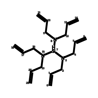 C=CCN(CC=C)[SiH](N(CC=C)CC=C)N(CC=C)CC=C